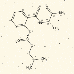 CC(C)COC(=O)Sc1ccccc1C(=O)N[C@@H](C)C(N)=O